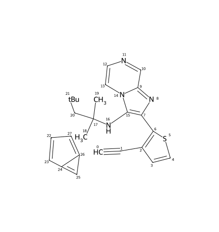 C#Cc1ccsc1-c1nc2cnccn2c1NC(C)(C)CC(C)(C)C.c1cc2cc-2c1